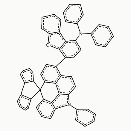 c1ccc(N(c2ccccc2)c2ccc(-c3ccc4c5c3ccc3c5c5c(cccc5n3-c3ccccc3)C43c4ccccc4-c4ccccc43)c3oc4ccccc4c23)cc1